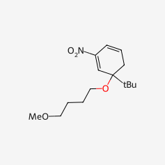 COCCCCOC1(C(C)(C)C)C=C([N+](=O)[O-])C=CC1